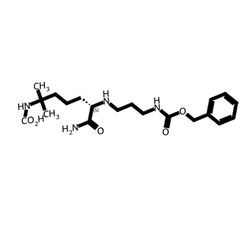 CC(C)(CCC[C@H](NCCCNC(=O)OCc1ccccc1)C(N)=O)NC(=O)O